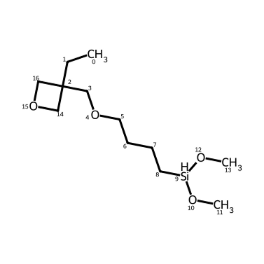 CCC1(COCCCC[SiH](OC)OC)COC1